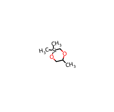 CC1CO[Si](C)(C)CO1